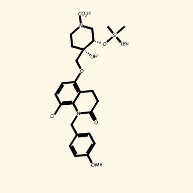 COc1ccc(CN2C(=O)CCc3c(OC[C@@]4(O)CCN(C(=O)O)C[C@@H]4O[Si](C)(C)C(C)(C)C)ccc(Cl)c32)cc1